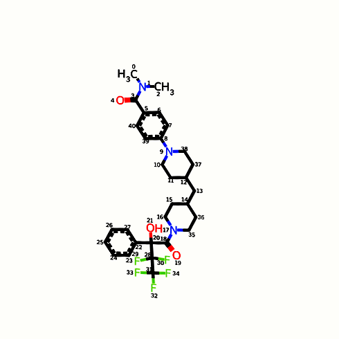 CN(C)C(=O)c1ccc(N2CCC(CC3CCN(C(=O)C(O)(c4ccccc4)C(F)(F)C(F)(F)F)CC3)CC2)cc1